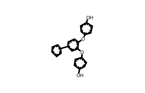 Oc1ccc(Oc2ccc(-c3ccccc3)cc2Oc2ccc(O)cc2)cc1